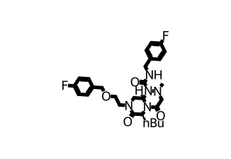 CCCC[C@H]1C(=O)N(CCOCc2ccc(F)cc2)C[C@H]2N1C(=O)CN(C)N2C(=O)NCc1ccc(F)cc1